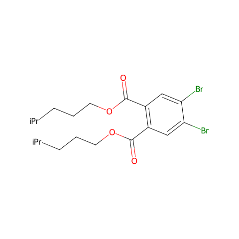 CC(C)CCCOC(=O)c1cc(Br)c(Br)cc1C(=O)OCCCC(C)C